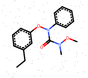 CCc1cccc(ON(C(=O)N(C)OC)c2ccccc2)c1